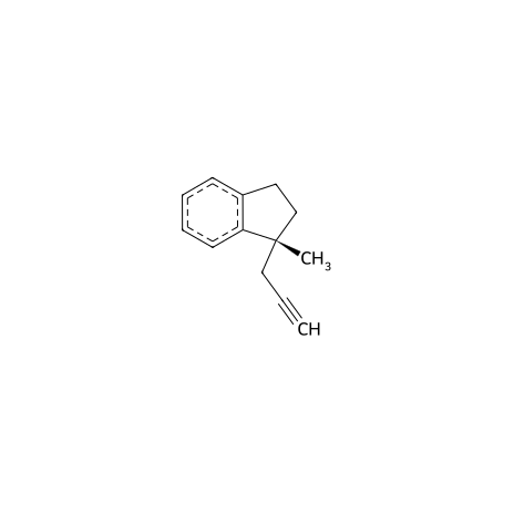 C#CC[C@@]1(C)CCc2ccccc21